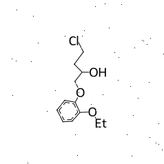 CCOc1ccccc1OCC(O)CCCl